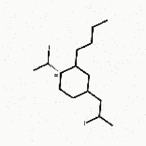 CCCCC1CC(CC(C)I)CC[C@@H]1C(C)I